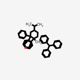 CC(C)C1CCC(C)(c2ccccc2)C(c2ccccc2)(c2ccccc2)C1.c1ccc(C(c2ccccc2)c2ccccc2)cc1